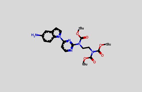 CC(C)(C)OC(=O)N(CCN(C(=O)OC(C)(C)C)c1nccc(-n2ccc3cc(N)ccc32)n1)C(=O)OC(C)(C)C